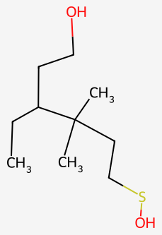 CCC(CCO)C(C)(C)CCSO